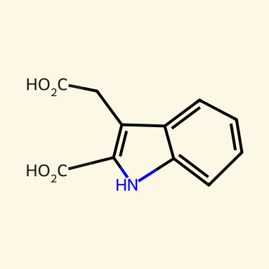 O=C(O)Cc1c(C(=O)O)[nH]c2ccccc12